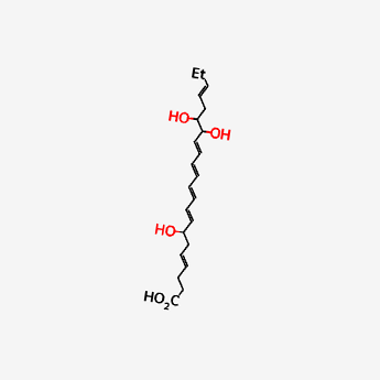 CC/C=C/CC(O)C(O)/C=C/C=C/C=C/C=C/C(O)C/C=C/CCC(=O)O